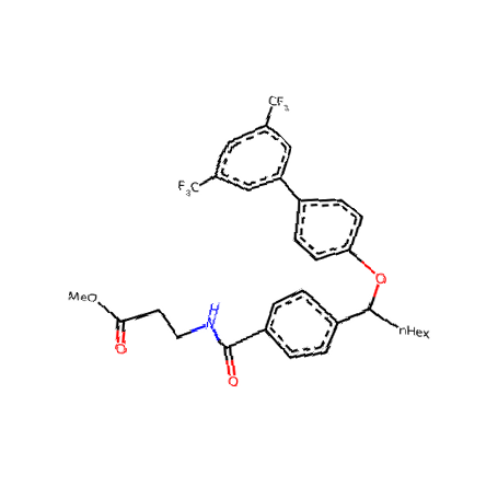 CCCCCCC(Oc1ccc(-c2cc(C(F)(F)F)cc(C(F)(F)F)c2)cc1)c1ccc(C(=O)NCCC(=O)OC)cc1